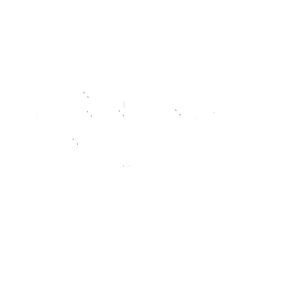 O=C(c1ccccc1-c1ccccc1)N1CCCC(CNc2cc(-c3ccccc3O)nc3c(Br)cnn23)C1